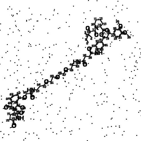 CCC(C)(C)C(=O)C(=O)N1CCCCC1C(=O)OC(CCc1ccc(OC)c(OC)c1)c1ccc(NC(=O)CCC(=O)NCCCOCCOCCOCCCNC(=O)COc2cccc3c2C(=O)N(C2CCC(=O)NC2=O)C3=O)cc1